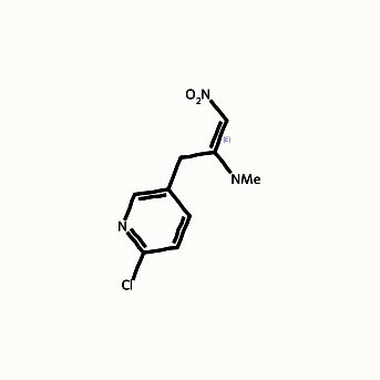 CN/C(=C/[N+](=O)[O-])Cc1ccc(Cl)nc1